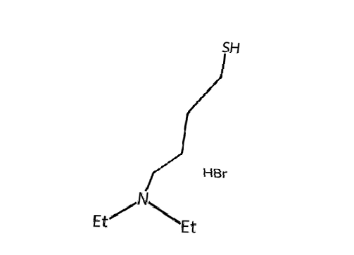 Br.CCN(CC)CCCCS